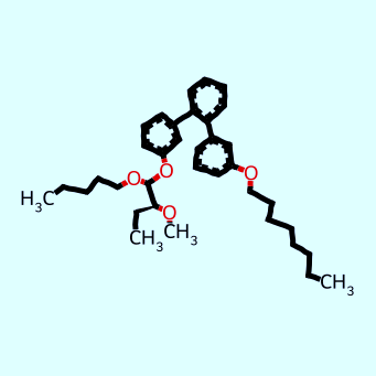 CCCCCCCCOc1cccc(-c2ccccc2-c2cccc(OC(OCCCCC)[C@H](CC)OC)c2)c1